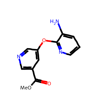 COC(=O)c1cncc(Oc2ncccc2N)c1